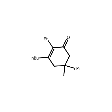 CCCCC1=C(CC)C(=O)CC(C)(CCC)C1